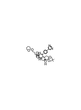 CC1(C)COC2(CCC3=C4[C@@H](CC[C@@]3(O)C2)[C@@H]2CC[C@](O)(CCCOC3CCCCO3)[C@]2(C)C[C@@H]4c2ccc(-c3cncnc3)cc2)OC1